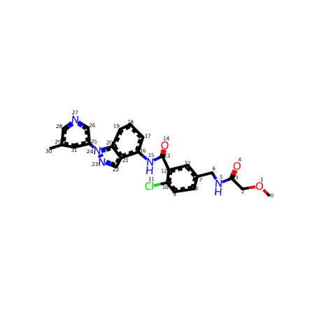 COCC(=O)NCc1ccc(Cl)c(C(=O)Nc2cccc3c2cnn3-c2cncc(C)c2)c1